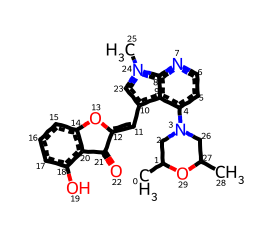 CC1CN(c2ccnc3c2c(C=C2Oc4cccc(O)c4C2=O)cn3C)CC(C)O1